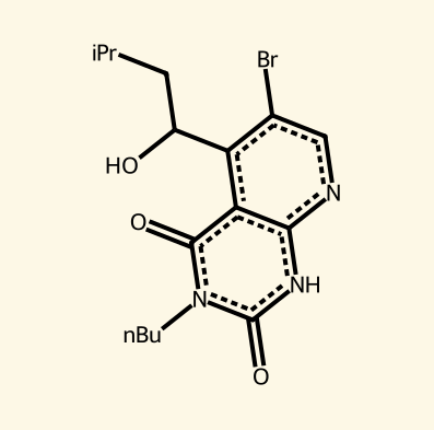 CCCCn1c(=O)[nH]c2ncc(Br)c(C(O)CC(C)C)c2c1=O